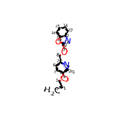 C=CCOc1ccc(COc2nc3ccccc3o2)nc1